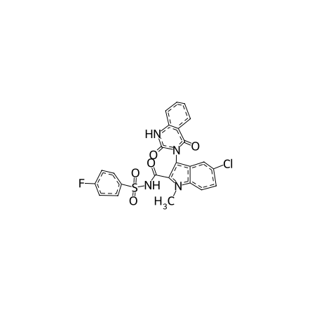 Cn1c(C(=O)NS(=O)(=O)c2ccc(F)cc2)c(-n2c(=O)[nH]c3ccccc3c2=O)c2cc(Cl)ccc21